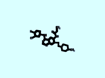 C=CC(=O)Nc1cc2c(Nc3ccc(F)c(Cl)c3)ncnc2cc1CCN1CCN(C)CC1